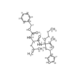 CCCOC(NC(=O)C(CC(C)C)NC(=O)OCc1ccccc1)(SCc1ccoc1)C(C)=O